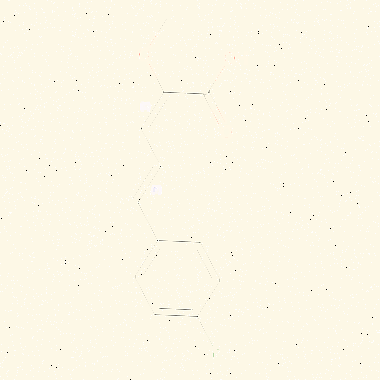 CO/C(=C/C=C/c1ccc(Cl)cc1)C(=O)O